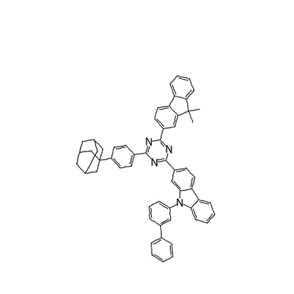 CC1(C)c2ccccc2-c2ccc(-c3nc(-c4ccc(C56CC7CC(CC(C7)C5)C6)cc4)nc(-c4ccc5c6ccccc6n(-c6cccc(-c7ccccc7)c6)c5c4)n3)cc21